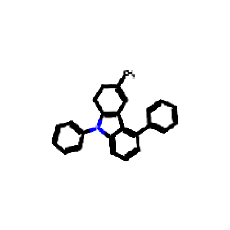 CC1=Cc2c(n(-c3ccccc3)c3cccc(-c4ccccc4)c23)CC1